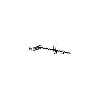 CCCCCCSCCCCCC(=O)NCCCCCCCCCCCOc1ccc(O)cc1